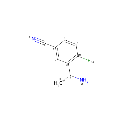 C[C@@H](N)c1cc(C#N)ccc1F